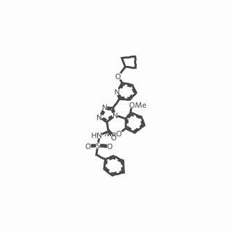 COc1cccc(OC)c1-n1c(C(=O)NS(=O)(=O)Cc2ccccc2)nnc1-c1cccc(OC2CCC2)n1